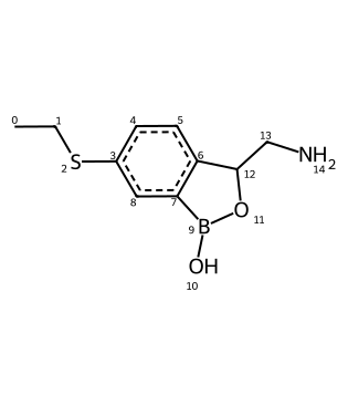 CCSc1ccc2c(c1)B(O)OC2CN